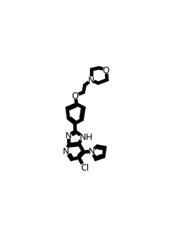 Clc1cnc2nc(-c3ccc(OCCN4CCOCC4)cc3)[nH]c2c1-n1cccc1